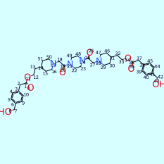 O=C(Cc1ccc(CO)cc1)OCCC1CCN(CC(=O)N2CCN(C(=O)CN3CCC(CCOC(=O)Cc4ccc(CO)cc4)CC3)CC2)CC1